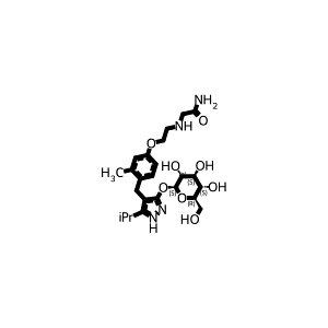 Cc1cc(OCCNCC(N)=O)ccc1Cc1c(O[C@@H]2O[C@H](CO)[C@@H](O)[C@H](O)[C@H]2O)n[nH]c1C(C)C